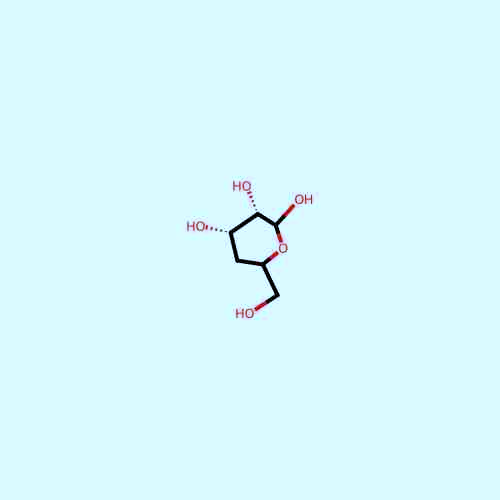 OCC1C[C@H](O)[C@H](O)C(O)O1